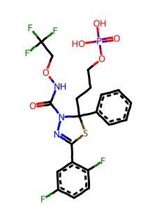 O=C(NOCC(F)(F)F)N1N=C(c2cc(F)ccc2F)SC1(CCCOP(=O)(O)O)c1ccccc1